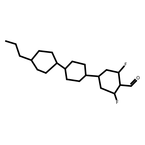 CCCC1CCC(C2CCC(C3CC(F)C(C=O)C(F)C3)CC2)CC1